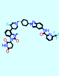 Cn1c(=O)n(C2CCC(=O)NC2=O)c2cccc(C3CCN(C[C@H]4CC[C@H](n5cc6cc(NC(=O)c7cccc(C(F)(F)F)n7)ccc6n5)CC4)CC3F)c21